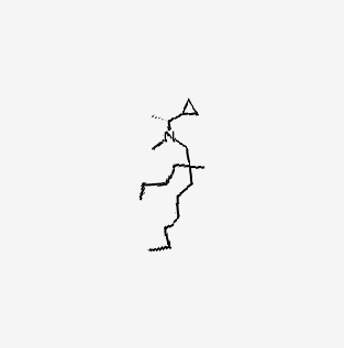 CCCCCCC(C)(CCCC)CN(C)[C@H](C)C1CC1